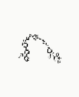 Cn1c2ccncc2c2ccc(-c3ccc(O[C@H]4C[C@H](Oc5ccc(C#CCOCCOc6ccc7c(c6)CN(C6CCC(=O)NC6=O)C7=O)nc5)C4)nc3)cc21